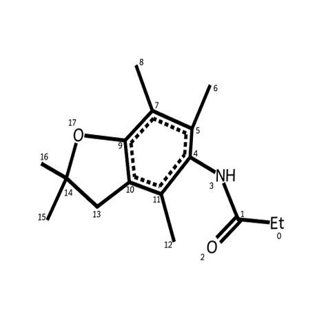 CCC(=O)Nc1c(C)c(C)c2c(c1C)CC(C)(C)O2